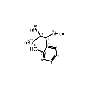 CCCCCCC(c1ccccc1O)C(CCC)CCCC